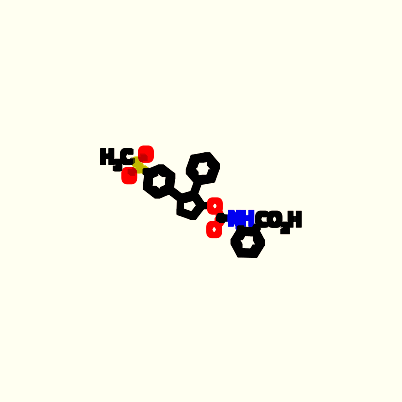 CS(=O)(=O)c1ccc(C2=C(c3ccccc3)C(OC(=O)Nc3ccccc3C(=O)O)CC2)cc1